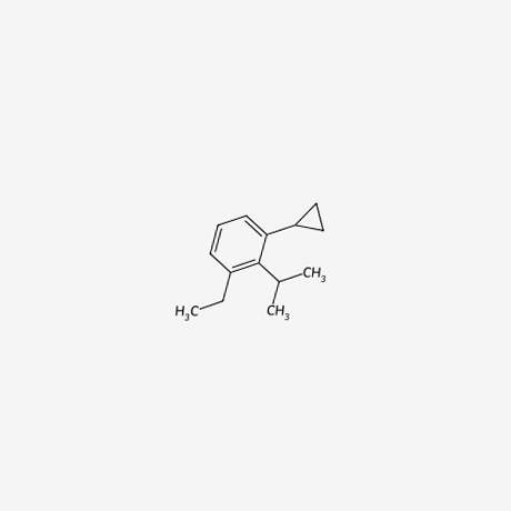 CCc1cccc(C2CC2)c1C(C)C